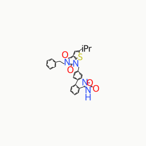 CC(C)c1cc2c(=O)n(CCc3ccccc3)c(=O)n(Cc3ccc(-c4ccccc4-c4noc(=O)[nH]4)cc3)c2s1